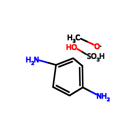 C[O].Nc1ccc(N)cc1.O=S(=O)(O)O